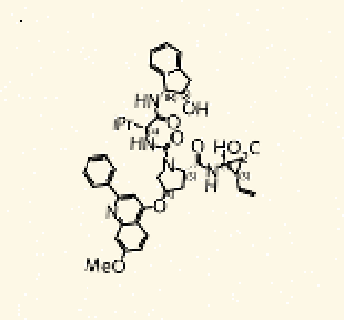 C=C[C@@H]1C[C@]1(NC(=O)[C@@H]1C[C@@H](Oc2cc(-c3ccccc3)nc3cc(OC)ccc23)CN1C(=O)N[C@H](C(=O)N[C@@H]1c2ccccc2C[C@@H]1O)C(C)C)C(=O)O